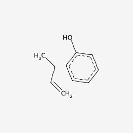 C=CCC.Oc1ccccc1